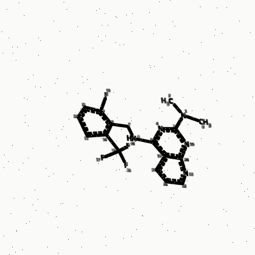 CN(C)c1nc(NCc2c(F)cccc2C(F)(F)F)c2cccnc2n1